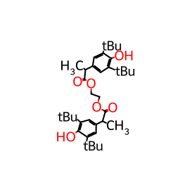 CC(C(=O)OCCOC(=O)C(C)c1cc(C(C)(C)C)c(O)c(C(C)(C)C)c1)c1cc(C(C)(C)C)c(O)c(C(C)(C)C)c1